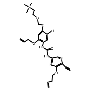 C=CCCOc1nc(NC(=O)Nc2cc(Cl)c(OCOCC[Si](C)(C)C)cc2OCC=C)cnc1C#N